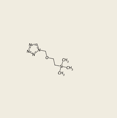 C[Si](C)(C)CCOCn1cnnn1